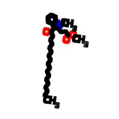 CCCCCCCCCCCCCCCCCC(=O)c1c(CCC(=O)OC)n(C)c2ccccc12